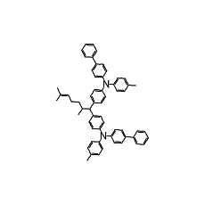 CC(C)=CCCC(C)C(c1ccc(N(c2ccc(C)cc2)c2ccc(-c3ccccc3)cc2)cc1)c1ccc(N(c2ccc(C)cc2)c2ccc(-c3ccccc3)cc2)cc1